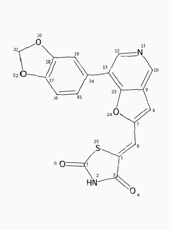 O=C1NC(=O)C(=Cc2cc3cncc(-c4ccc5c(c4)OCO5)c3o2)S1